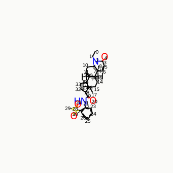 CCN1C(=O)C=C[C@@]2(C)C1CC[C@@H]1[C@H]2CC[C@]2(C)C(C(=O)Nc3ccccc3S(C)(=O)=O)CC[C@@H]12